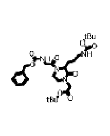 CC(C)(C)OC(=O)CN1CCN(C(=O)CNC(=O)OCc2ccccc2)C(CCCNC(=O)OC(C)(C)C)C1=O